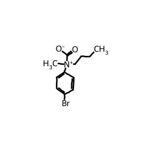 CCCC[N+](C)(C(=O)[O-])c1ccc(Br)cc1